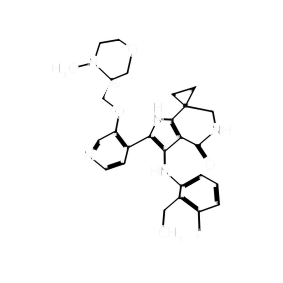 CCc1c(F)cccc1Nc1c(-c2ccncc2OC[C@@H]2COCCN2C)[nH]c2c1C(=O)NCC21CC1